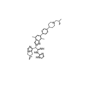 Cc1cc(-c2ccc(C3CCN(CC(C)F)CC3)cc2)c(C)c2nn(C(C(=N)Nc3ncc[nH]3)c3ncn4c3C[C@@H](F)C4)cc12